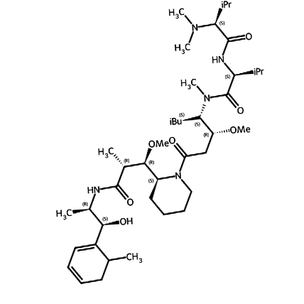 CC[C@H](C)[C@@H]([C@@H](CC(=O)N1CCCC[C@H]1[C@H](OC)[C@@H](C)C(=O)N[C@H](C)[C@@H](O)C1=CC=CCC1C)OC)N(C)C(=O)[C@@H](NC(=O)[C@H](C(C)C)N(C)C)C(C)C